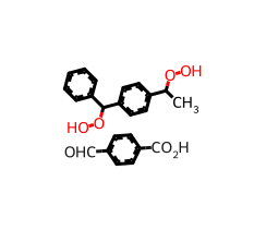 CC(OO)c1ccc(C(OO)c2ccccc2)cc1.O=Cc1ccc(C(=O)O)cc1